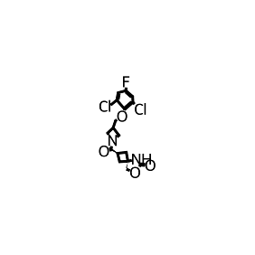 O=C1N[C@]2(CO1)C[C@H](C(=O)N1CC(COc3c(Cl)cc(F)cc3Cl)C1)C2